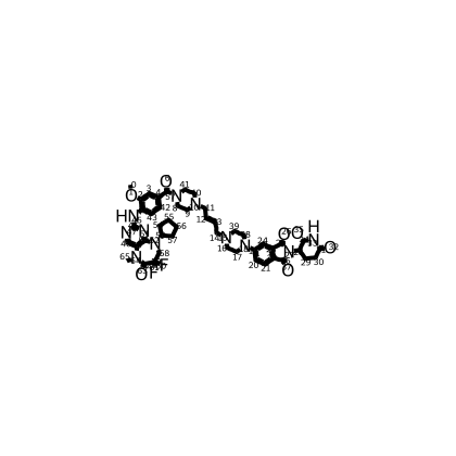 COc1cc(C(=O)N2CCN(C/C=C/CN3CCN(c4ccc5c(c4)C(=O)N(C4CCC(=O)NC4=O)C5=O)CC3)CC2)ccc1Nc1ncc2c(n1)N(C1CCCC1)CC(F)(F)C(=O)N2C